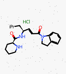 CC(C)C[C@@H](C=CC(=O)N1CCc2ccccc21)NC(=O)[C@@H]1CCCCN1.Cl